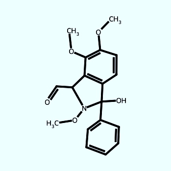 COc1ccc2c(c1OC)C(C=O)N(OC)C2(O)c1ccccc1